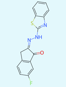 O=C1/C(=N\Nc2nc3ccccc3s2)Cc2ccc(F)cc21